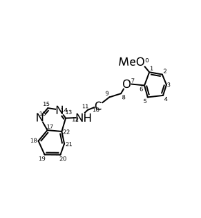 COc1ccccc1OCCCCNc1ncnc2ccccc12